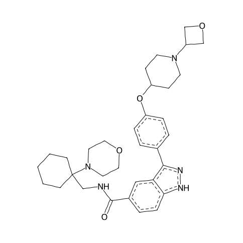 O=C(NCC1(N2CCOCC2)CCCCC1)c1ccc2[nH]nc(-c3ccc(OC4CCN(C5COC5)CC4)cc3)c2c1